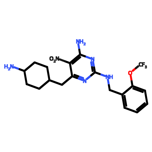 Nc1nc(NCc2ccccc2OC(F)(F)F)nc(CC2CCC(N)CC2)c1[N+](=O)[O-]